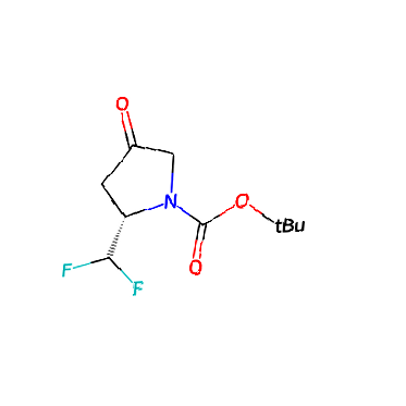 CC(C)(C)OC(=O)N1CC(=O)C[C@H]1C(F)F